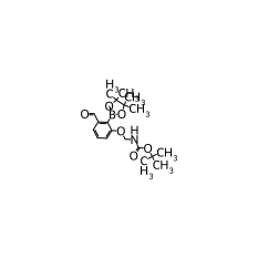 CC(C)(C)OC(=O)NCOc1cccc(C=O)c1B1OC(C)(C)C(C)(C)O1